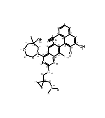 C#Cc1cccc2cc(O)c(Cl)c(-c3c(F)cc4c(N5CCOCC(C)(O)C5)nc(OCC5(CN(C)C)CC5)nc4c3F)c12